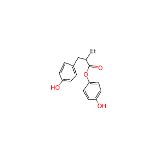 CCC(Cc1ccc(O)cc1)C(=O)Oc1ccc(O)cc1